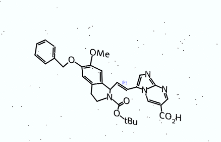 COc1cc2c(cc1OCc1ccccc1)CCN(C(=O)OC(C)(C)C)C2/C=C/c1cnc2ncc(C(=O)O)cn12